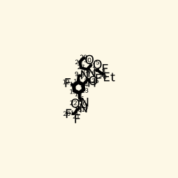 CCC(F)(F)C(=O)N[C@]1(N2Cc3c(F)cc(-c4nnc(C(F)F)o4)cc3C2=O)CCCOC1